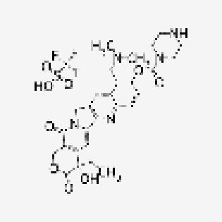 CC[C@@]1(O)C(=O)OCc2c1cc1n(c2=O)Cc2cc3c(CN(C)C)c(OC(=O)N4CCNCC4)ccc3nc2-1.O=S(=O)(O)C(F)(F)F